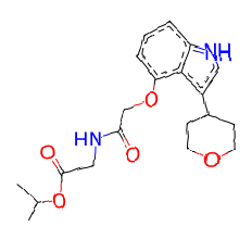 CC(C)OC(=O)CNC(=O)COc1cccc2[nH]cc(C3CCOCC3)c12